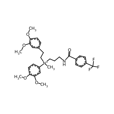 COc1ccc(CC[N+](C)(CCCNC(=O)c2ccc(C(F)(F)F)cc2)c2ccc(OC)c(OC)c2)cc1OC